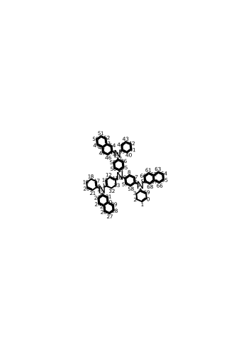 C1=CCCC(N(c2ccc(N(C3=CC=C(N(C4=CCCC=C4)c4ccc5ccccc5c4)CC3)c3ccc(N(c4ccccc4)c4ccc5ccccc5c4)cc3)cc2)c2ccc3ccccc3c2)=C1